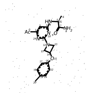 CC(=O)c1cc(N[C@@H](C)C(N)=O)nc(N2CC(Oc3ccc(C)cc3)C2)n1